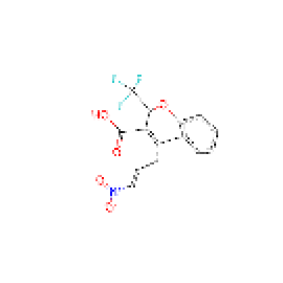 O=C(O)C1=C(CC=C[N+](=O)[O-])c2ccccc2OC1C(F)(F)F